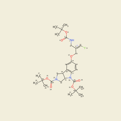 CC(C)(C)OC(=O)NC/C(=C/F)COc1ccc2c(c1)C1CN(C(=O)OC(C)(C)C)CC1N2C(=O)OC(C)(C)C